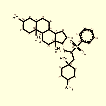 CC1CCC(O)(CC(C[C@H]2CCC3C4CCC5CC(O)CCC5(C)C4CCC32C)S(=O)(=O)c2ccccc2)CC1